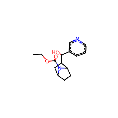 CCOC(=O)N1C2CCC1C(C(O)c1cccnc1)C2